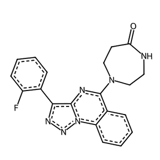 O=C1CCN(c2nc3c(-c4ccccc4F)nnn3c3ccccc23)CCN1